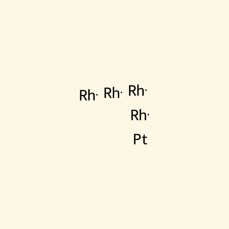 [Pt].[Rh].[Rh].[Rh].[Rh]